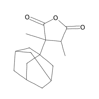 CC1C(=O)OC(=O)C1(C)C12CC3CC(CC(C3)C1)C2